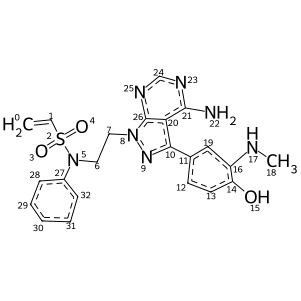 C=CS(=O)(=O)N(CCn1nc(-c2ccc(O)c(NC)c2)c2c(N)ncnc21)c1ccccc1